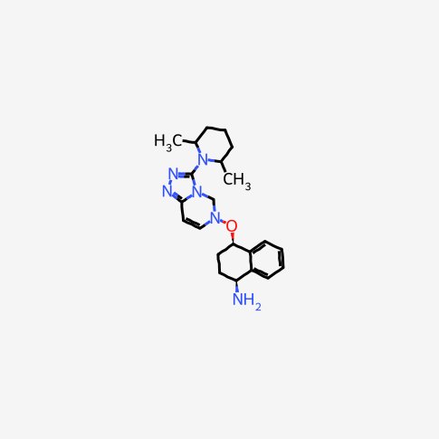 CC1CCCC(C)N1c1nnc2n1CN(O[C@@H]1CC[C@H](N)c3ccccc31)C=C2